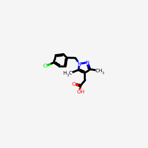 Cc1nn(Cc2ccc(Cl)cc2)c(C)c1CC(=O)O